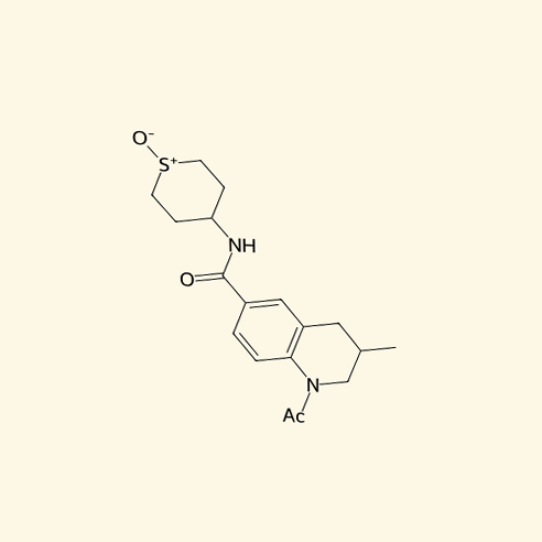 CC(=O)N1CC(C)Cc2cc(C(=O)NC3CC[S+]([O-])CC3)ccc21